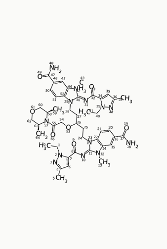 CCn1nc(C)cc1C(=O)N=c1n(C)c2cc(C(N)=O)ccc2n1CCC(CCn1c(=NC(=O)c2cc(C)nn2CC)n(C)c2cc(C(N)=O)ccc21)OCC(=O)N1[C@H](C)COC[C@@H]1C